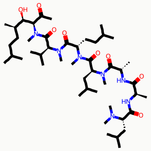 CC(=O)[C@H]([C@H](O)[C@H](C)CCC(C)C)N(C)C(=O)[C@H](C(C)C)N(C)C(=O)[C@H](CCC(C)C)N(C)C(=O)[C@H](CC(C)C)N(C)C(=O)[C@H](C)NC(=O)[C@@H](C)NC(=O)[C@H](CC(C)C)N(C)C